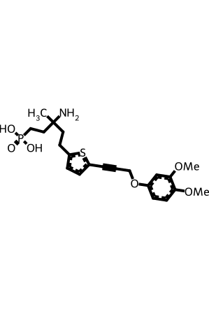 COc1ccc(OCC#Cc2ccc(CCC(C)(N)CCP(=O)(O)O)s2)cc1OC